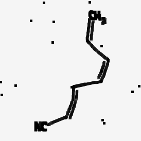 C=C/C=C\C=C\C#N